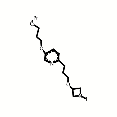 CC(C)OCCCOc1ccc(CCCOC2CN(I)C2)nc1